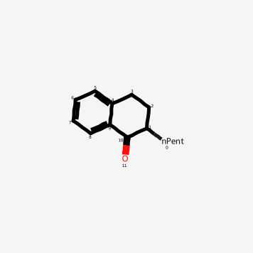 CCCCCC1CCc2ccccc2C1=O